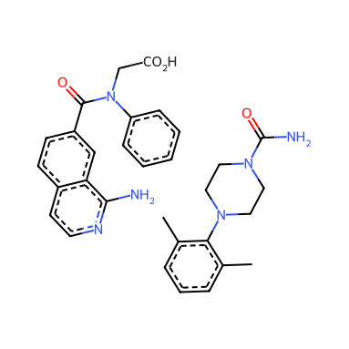 Cc1cccc(C)c1N1CCN(C(N)=O)CC1.Nc1nccc2ccc(C(=O)N(CC(=O)O)c3ccccc3)cc12